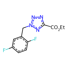 CCOC(=O)c1nnn(Cc2cc(F)ccc2F)n1